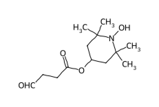 CC1(C)CC(OC(=O)CCC=O)CC(C)(C)N1O